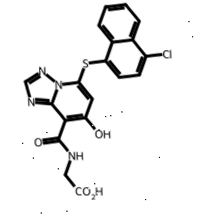 O=C(O)CNC(=O)c1c(O)cc(Sc2ccc(Cl)c3ccccc23)n2ncnc12